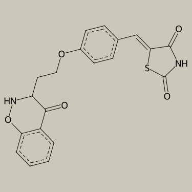 O=C1NC(=O)C(=Cc2ccc(OCCC3NOc4ccccc4C3=O)cc2)S1